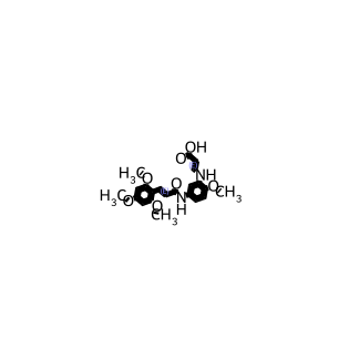 COc1cc(OC)c(/C=C/C(=O)Nc2ccc(OC)c(N/C=C/C(=O)O)c2)c(OC)c1